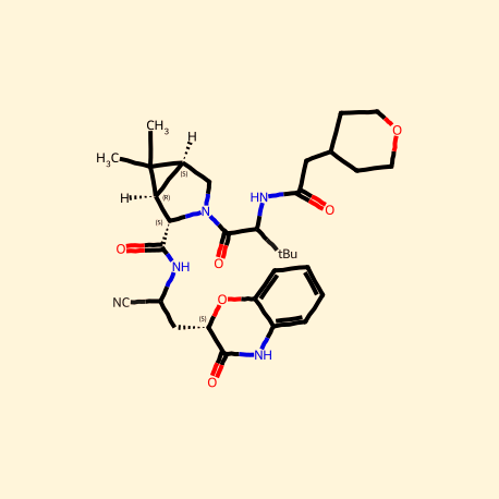 CC(C)(C)C(NC(=O)CC1CCOCC1)C(=O)N1C[C@H]2[C@@H]([C@H]1C(=O)NC(C#N)C[C@@H]1Oc3ccccc3NC1=O)C2(C)C